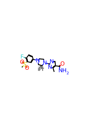 Cc1nc(N2CCN(c3ccc(F)c(S(C)(=O)=O)c3)C[C@H]2C(C)C)ncc1C(N)=O